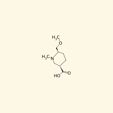 COC[C@H]1CC[C@@H](C(=O)O)CN1C